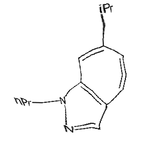 CCCn1ncc2ccc(C(C)C)cc21